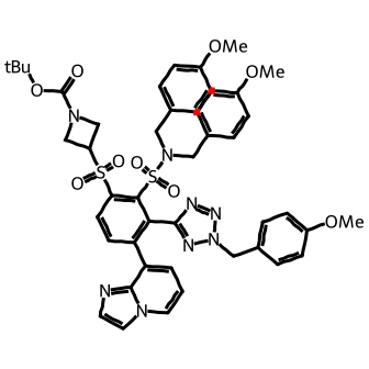 COc1ccc(CN(Cc2ccc(OC)cc2)S(=O)(=O)c2c(S(=O)(=O)C3CN(C(=O)OC(C)(C)C)C3)ccc(-c3cccn4ccnc34)c2-c2nnn(Cc3ccc(OC)cc3)n2)cc1